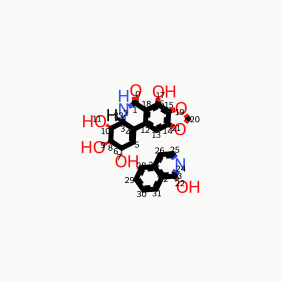 O=C1N[C@@H]2C(=C[C@H](O)[C@@H](O)[C@H]2O)c2cc3c(c(O)c21)OCO3.Oc1nccc2ccccc12